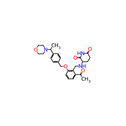 CC(=O)c1cccc(OCc2ccc(C(C)N3CCOCC3)cc2)c1CNC1CCC(=O)NC1=O